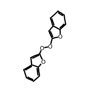 c1ccc2oc(OOc3cc4ccccc4o3)cc2c1